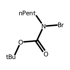 CCCCCN(Br)C(=O)OC(C)(C)C